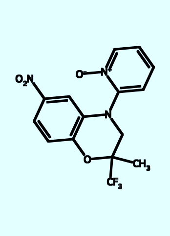 CC1(C(F)(F)F)CN(c2cccc[n+]2[O-])c2cc([N+](=O)[O-])ccc2O1